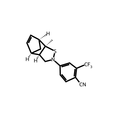 C[C@]12SN(c3ccc(C#N)c(C(F)(F)F)c3)C[C@H]1[C@H]1C=C[C@@H]2C1